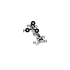 COC(=O)C(CO)NC(=O)COc1cccc(C2SC(c3ccc(F)cc3)=NN2C(=O)c2ccccc2O)c1OC